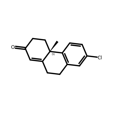 C[C@]12CCC(=O)C=C1CCc1cc(Cl)ccc12